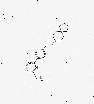 Nc1cccc(-c2ccc(CCN3CCC4(CCCC4)CC3)cc2)n1